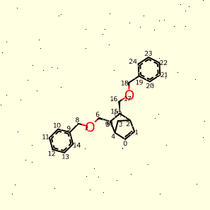 C1=CC2CC1[C@@H](COCc1ccccc1)[C@H]2COCc1ccccc1